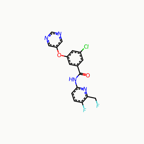 O=C(Nc1ccc(F)c(CF)n1)c1cc(Cl)cc(Oc2cncnc2)c1